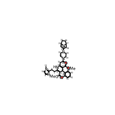 COC(=O)C1=C(CCc2nccn2C)NC(CC(=O)N2CCN(C3CC4CCC(C3)N4C)CC2)=C(C(=O)OC)C1c1c(Cl)cccc1Cl